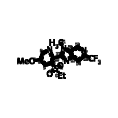 CCS(=O)(=O)c1cc(OC)cnc1-c1nc2cc(C(F)(F)F)ncc2n1C